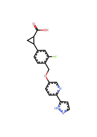 O=C(O)C1CC1c1ccc(COc2ccc(-c3ccn[nH]3)nc2)c(F)c1